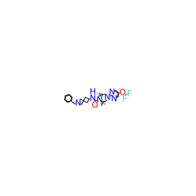 C[C@@H]1CN(c2ncc(OC(F)F)cn2)C[C@@H](C)N1C(=O)NC1CC2(C1)CN(Cc1ccccc1)C2